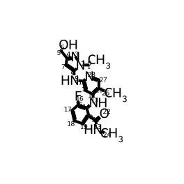 CCn1nc(CO)cc1Nc1cc(Nc2c(F)cccc2C(=O)NC)c(C)cn1